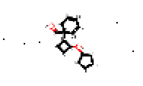 O=CC1(C2CCC2OC2CCCC2)C=CC=CC1